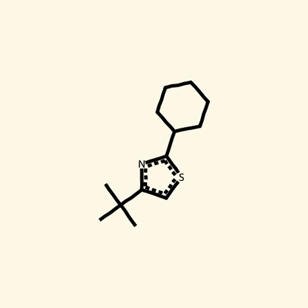 CC(C)(C)c1csc(C2CCCCC2)n1